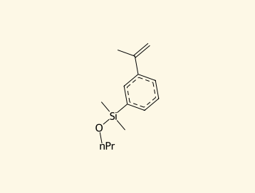 C=C(C)c1cccc([Si](C)(C)OCCC)c1